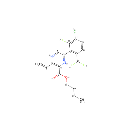 C=Cc1ncc(-c2c(C(F)F)ccc(Cl)c2F)nc1C(=O)OCCCC